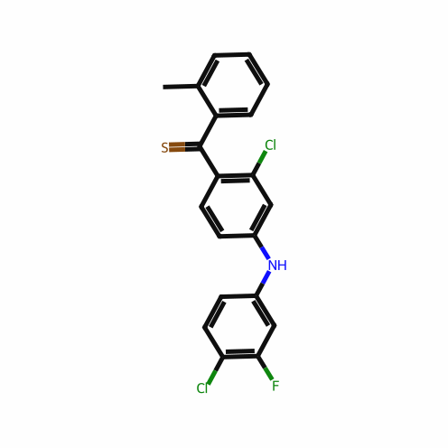 Cc1ccccc1C(=S)c1ccc(Nc2ccc(Cl)c(F)c2)cc1Cl